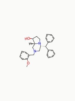 COc1ccccc1CN1C[C@@H]2[C@@H](O)CCN2[C@H](C(c2ccccc2)c2ccccc2)C1